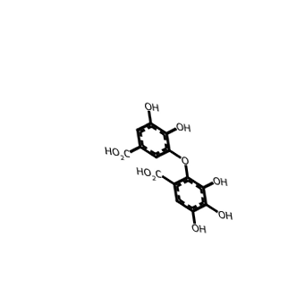 O=C(O)c1cc(O)c(O)c(Oc2c(C(=O)O)cc(O)c(O)c2O)c1